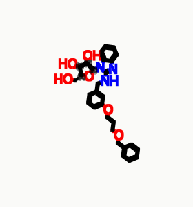 OC[C@H]1O[C@@H](n2c(NCc3cccc(OCCCOCc4ccccc4)c3)nc3ccccc32)[C@H](O)[C@@H]1O